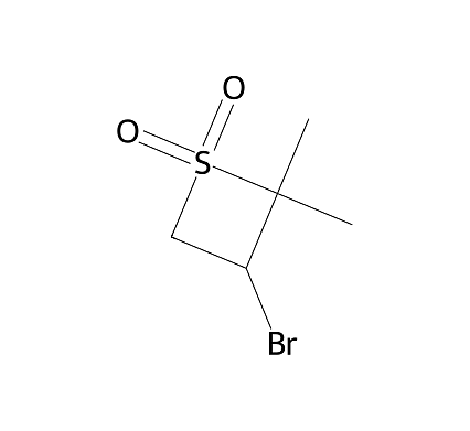 CC1(C)C(Br)CS1(=O)=O